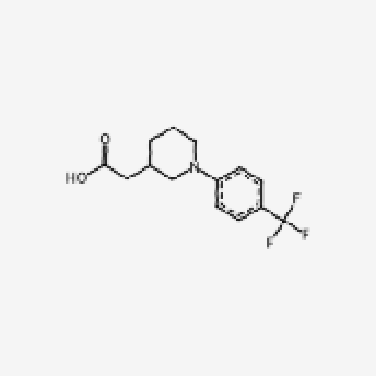 O=C(O)CC1CCCN(c2ccc(C(F)(F)F)cc2)C1